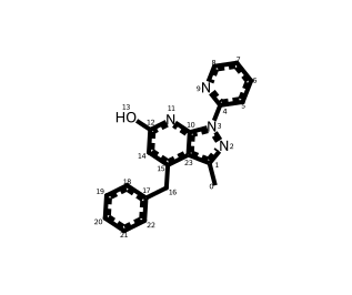 Cc1nn(-c2ccccn2)c2nc(O)cc(Cc3ccccc3)c12